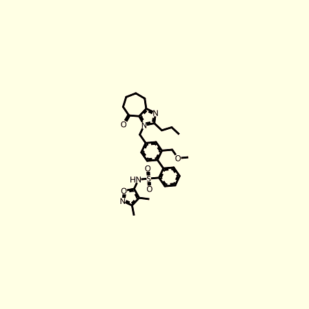 CCCc1nc2c(n1Cc1ccc(-c3ccccc3S(=O)(=O)Nc3onc(C)c3C)c(COC)c1)C(=O)CCCC2